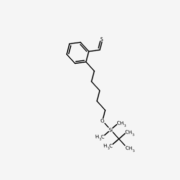 CC(C)(C)[Si](C)(C)OCCCCCc1ccccc1C=S